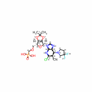 CC1(C)O[C@@H]2[C@H](O1)[C@@H](COCP(=O)(O)O)O[C@H]2n1cnc2c(N3CCC(F)(F)C3)c(C#N)c(Cl)nc21